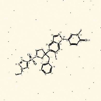 CCn1cc(S(=O)(=O)N2CCC(Cc3ccccc3)(c3cc4cnn(-c5ccc(=O)n(C)c5)c4cc3C)C2)nn1